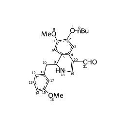 CCCCOc1cc2c(cc1OC)C(Cc1cccc(OC)c1)NC=C2C=O